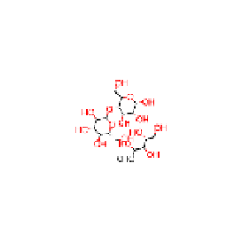 O=C[C@@H](O)[C@H](O)[C@H](O)CO.OC[C@H]1O[C@H](O[C@H]2[C@H](O)[C@@H](O)[C@H](O)O[C@@H]2CO)[C@H](O)[C@@H](O)[C@@H]1O